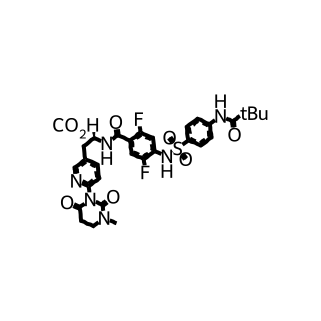 CN1CCC(=O)N(c2ccc(C[C@H](NC(=O)c3cc(F)c(NS(=O)(=O)c4ccc(NC(=O)C(C)(C)C)cc4)cc3F)C(=O)O)cn2)C1=O